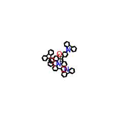 c1ccc(-c2cccc(-c3ccccc3)c2N2c3cc(-n4c5ccccc5c5ccccc54)ccc3B3c4ccc(-n5c6ccccc6c6ccccc65)cc4Oc4cc(C5(c6ccccc6)c6ccccc6-c6ccccc65)cc2c43)cc1